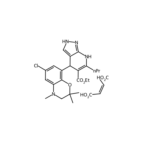 CCCC1=C(C(=O)OCC)C(c2cc(Cl)cc3c2OC(C)(C)CN3C)c2c[nH]nc2N1.O=C(O)/C=C\C(=O)O